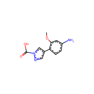 COc1cc(N)ccc1-c1cnn(C(=O)O)c1